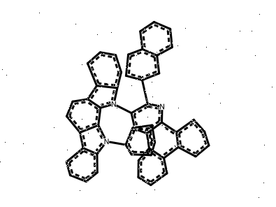 c1ccc(-n2c3ccccc3c3ccc4c5ccccc5n(-c5nc6c7ccccc7c7ccccc7c6nc5-c5ccc6ccccc6c5)c4c32)cc1